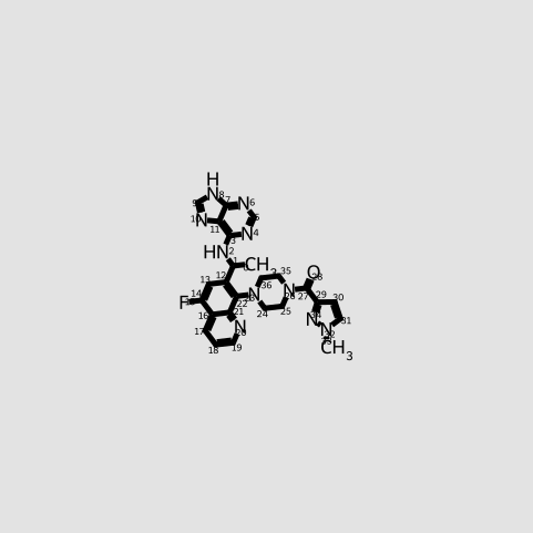 CC(Nc1ncnc2[nH]cnc12)c1cc(F)c2cccnc2c1N1CCN(C(=O)c2ccn(C)n2)CC1